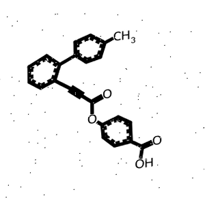 Cc1ccc(-c2ccccc2C#CC(=O)Oc2ccc(C(=O)O)cc2)cc1